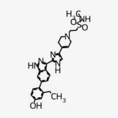 CCc1cc(O)ccc1-c1ccc2c(-c3nc(C4=CCN(CCS(=O)(=O)NC)CC4)c[nH]3)n[nH]c2c1